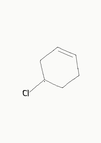 Cl[C]1CC=CCC1